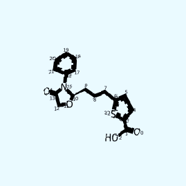 O=C(O)c1ccc(CCC[C@H]2OCC(=O)N2c2ccccc2)s1